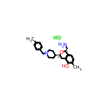 Cc1ccc(CN2CCC([C@@H]3Cc4c(ccc(C)c4O)[C@H](CN)O3)CC2)cc1.Cl.Cl